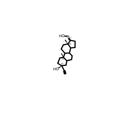 C#C[C@]1(O)CC[C@@]2(C)C(CCC3C2CC[C@]2(C)/C(=N\O)CCC32)C1